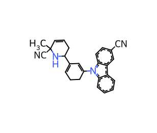 CC1(C#N)C=CCC(C2=CCCC(n3c4ccccc4c4cc(C#N)ccc43)=C2)N1